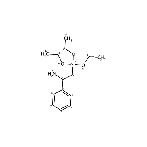 CCO[Si](CC(N)c1ccccc1)(OCC)OCC